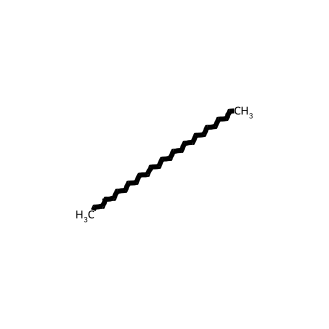 CCC[CH]CCCCCCCCCCCCCCCCCCCCCCC